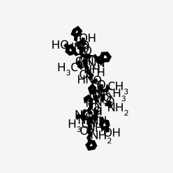 CC[C@H](C)[C@H](NC(=O)[C@H](CC(N)=O)NC(=O)[C@@H]1CCCN1C(=O)[C@H](Cc1c[nH]cn1)NC(=O)[C@H](Cc1ccc(O)cc1)NC(=O)[C@H](C)NC(=O)[C@@H](N)Cc1ccccc1)C(=O)N1CCC[C@H]1C(=O)NCC(=O)N[C@@H](CC(C)C)C(=O)N[C@@H](Cc1c[nH]c2ccccc12)C(=O)N[C@@H](Cc1ccc(O)cc1)C(=O)N[C@@H](Cc1ccccc1)C(=O)O